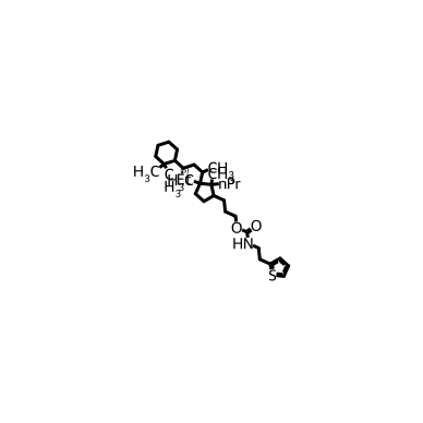 CCCC1(C)C(CCCOC(=O)NCCc2cccs2)CCC1(C)C(C)C[C@H](CC)C1CCCCC1(C)C